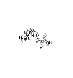 O.O.O.O.O.O.[Cd].[O-][Cl+3]([O-])([O-])O